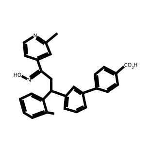 Cc1cc(/C(CC(c2cccc(-c3ccc(C(=O)O)cc3)c2)c2ccccc2C)=N\O)ccn1